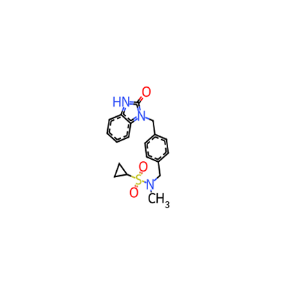 CN(Cc1ccc(Cn2c(=O)[nH]c3ccccc32)cc1)S(=O)(=O)C1CC1